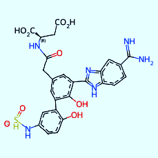 N=C(N)c1ccc2[nH]c(-c3cc(CC(=O)N[C@H](CC(=O)O)C(=O)O)cc(-c4cc(N[SH](=O)=O)ccc4O)c3O)nc2c1